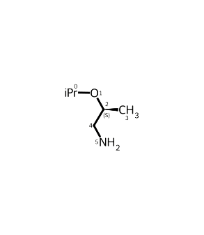 CC(C)O[C@@H](C)CN